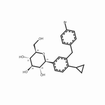 OC[C@H]1O[C@@H](c2ccc(C3CC3)c(Cc3ccc(Br)cc3)c2)[C@H](O)[C@@H](O)[C@@H]1O